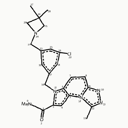 CNC(=O)c1cc2c(ccc3nnc(C)n32)n1Cc1cc(Cl)cc(CN2CC(C)(C)C2)c1